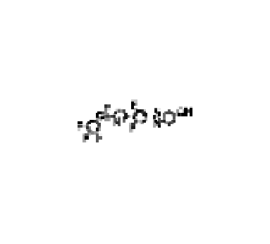 Oc1ccc2nc(-c3cc(F)c(-c4ccc(C(F)(F)Oc5cc(F)c(F)c(F)c5)nc4)c(F)c3)sc2c1